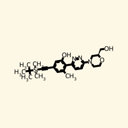 Cc1cc(C#C[Si](C)(C)C(C)(C)C)cc(O)c1-c1ccc(N2CCO[C@H](CO)C2)nn1